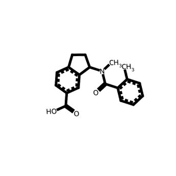 Cc1ccccc1C(=O)N(C)C1CCc2ccc(C(=O)O)cc21